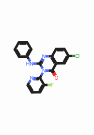 O=c1c2cc(Cl)ccc2nc(Nc2ccccc2)n1-c1ncccc1F